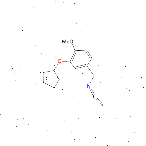 COc1ccc(CN=C=S)cc1OC1CCCC1